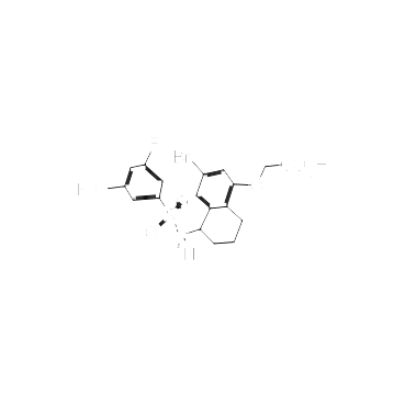 CN(C1CCCc2c(OCC(=O)O)cc(Br)cc21)S(=O)(=O)c1cc(F)cc(C(F)(F)F)c1